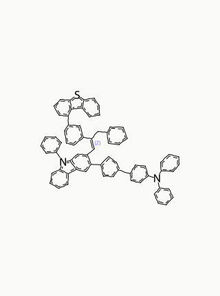 C(=C(\Cc1ccccc1)c1cccc(-c2cccc3sc4ccccc4c23)c1)/c1cc2c(cc1-c1ccc(-c3ccc(N(c4ccccc4)c4ccccc4)cc3)cc1)c1ccccc1n2-c1ccccc1